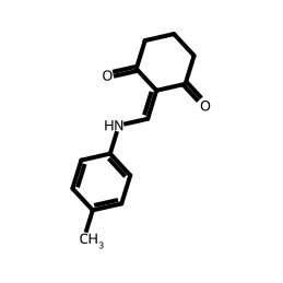 Cc1ccc(NC=C2C(=O)CCCC2=O)cc1